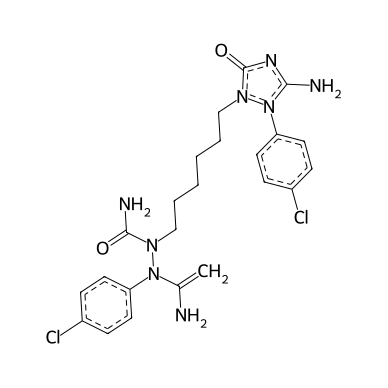 C=C(N)N(c1ccc(Cl)cc1)N(CCCCCCn1c(=O)nc(N)n1-c1ccc(Cl)cc1)C(N)=O